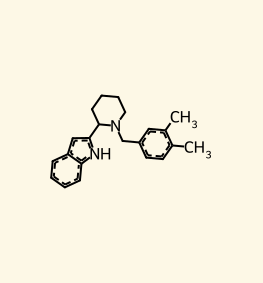 Cc1ccc(CN2CCCCC2c2cc3ccccc3[nH]2)cc1C